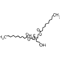 CCCCCCCCCC(=O)OCC[N+](C)(CCO)CCOC(=O)CCCCCCCCC